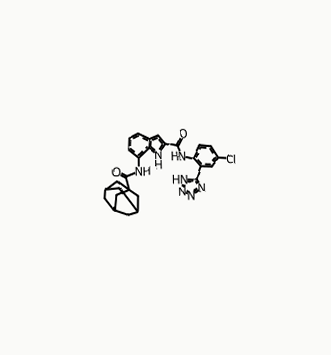 O=C(Nc1ccc(Cl)cc1-c1nnn[nH]1)c1cc2cccc(NC(=O)C34CC5CC(CC(C5)C3)C4)c2[nH]1